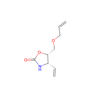 C=CCOC[C@H]1OC(=O)N[C@H]1C=C